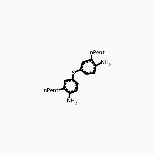 CCCCCc1cc(Sc2ccc(N)c(CCCCC)c2)ccc1N